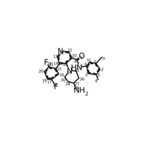 Cc1cc(C)cc(NC(=O)c2cncc(-c3cc(F)ccc3F)c2N2CCC(N)CC2)c1